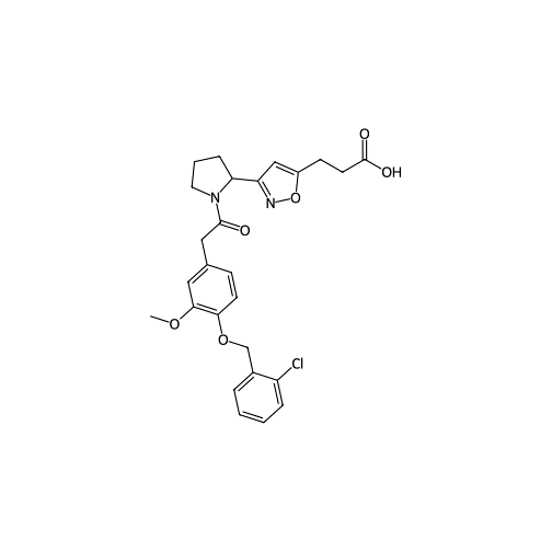 COc1cc(CC(=O)N2CCCC2c2cc(CCC(=O)O)on2)ccc1OCc1ccccc1Cl